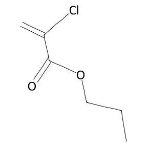 C=C(Cl)C(=O)OCCC